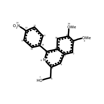 COc1cc2cc(CO)nc(-c3ccc([N+](=O)[O-])cc3)c2cc1OC